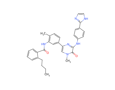 CCCCc1ccccc1C(=O)Nc1cc(-c2cn(C)c(=O)c(Nc3ccc(-c4ncc[nH]4)cc3)n2)ccc1C